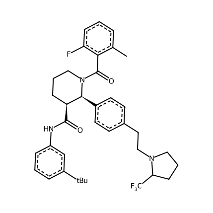 Cc1cccc(F)c1C(=O)N1CCC[C@H](C(=O)Nc2cccc(C(C)(C)C)c2)[C@@H]1c1ccc(CCN2CCCC2C(F)(F)F)cc1